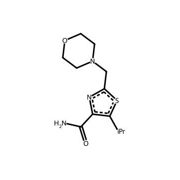 CC(C)c1sc(CN2CCOCC2)nc1C(N)=O